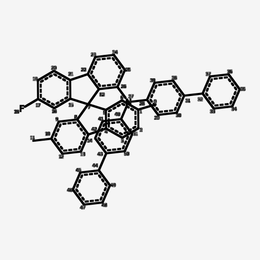 Cc1ccc2c(c1)C1(c3cc(C)ccc3-2)c2cc(F)ccc2-c2cccc(N(c3ccc(-c4ccccc4)cc3)c3ccc(-c4ccccc4)cc3)c21